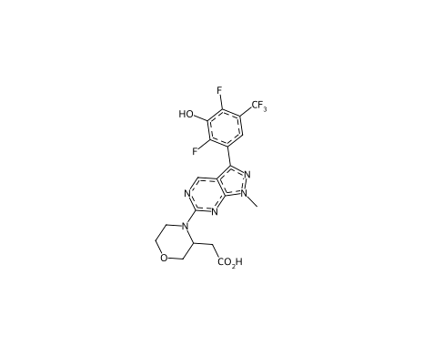 Cn1nc(-c2cc(C(F)(F)F)c(F)c(O)c2F)c2cnc(N3CCOCC3CC(=O)O)nc21